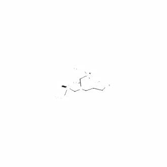 COP(=O)(CN(CCCO)CP(=O)(OC)OC)OC